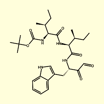 CC[C@H](C)[C@H](NC(=O)OC(C)(C)C)C(=O)N[C@H](C(=O)N[C@@H](Cc1c[nH]c2ccccc12)C(=O)C=O)[C@@H](C)CC